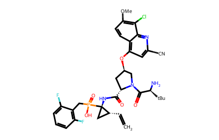 C=C[C@@H]1C[C@]1(NC(=O)[C@@H]1C[C@@H](Oc2cc(C#N)nc3c(Cl)c(OC)ccc23)CN1C(=O)[C@@H](N)C(C)(C)C)P(=O)(O)Cc1c(F)cccc1F